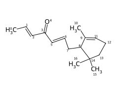 CC=CC(=O)C=CCC1C(C)=CCCC1(C)C